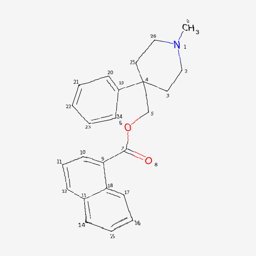 CN1CCC(COC(=O)c2cccc3ccccc23)(c2ccccc2)CC1